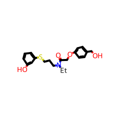 CCN(CCCSc1cccc(O)c1)C(=O)COc1ccc(CO)cc1